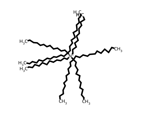 CCCCCCCCCCCCC[N+](CCCCCCCCCCCC)(C(CCCCCCCCCCCC)(CCCCCCCCCCCC)CCCCCCCCCCCC)C(CCCCCCCCCCCC)(CCCCCCCCCCCC)CCCCCCCCCCCC